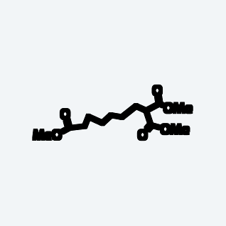 COC(=O)CCCCCCC(C(=O)OC)C(=O)OC